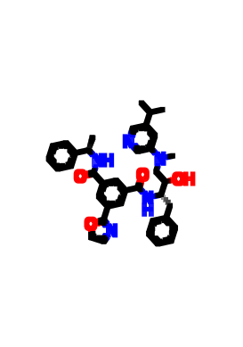 CC(C)c1cncc(N(C)C[C@@H](O)[C@H](Cc2ccccc2)NC(=O)c2cc(C(=O)N[C@H](C)c3ccccc3)cc(-c3ncco3)c2)c1